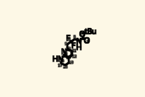 CC(C)(C)OC(=O)NCC(F)(F)Cc1ccc2c(n1)NCCC2